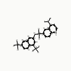 CC(C)c1ccnc2ccc(C(C)(C)Cc3cc(C(C)(C)C)c4ccc(C(C)(C)C)cc4c3)cc12